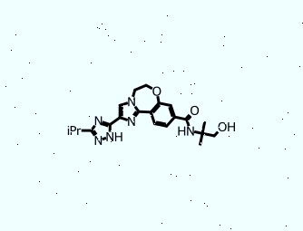 CC(C)c1n[nH]c(-c2cn3c(n2)-c2ccc(C(=O)NC(C)(C)CO)cc2OCC3)n1